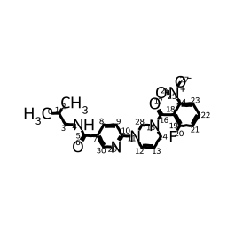 CC(C)CNC(=O)c1ccc(N2C=CCN(C(=O)c3c(F)cccc3[N+](=O)[O-])C2)nc1